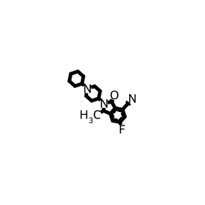 CC1c2cc(F)cc(C#N)c2C(=O)N1C1CCN(C2CCCCC2)CC1